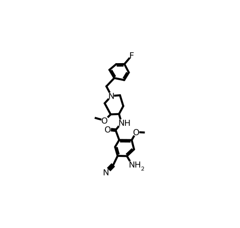 COc1cc(N)c(C#N)cc1C(=O)NC1CCN(Cc2ccc(F)cc2)CC1OC